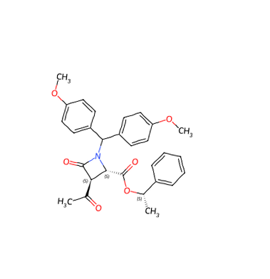 COc1ccc(C(c2ccc(OC)cc2)N2C(=O)[C@H](C(C)=O)[C@H]2C(=O)O[C@@H](C)c2ccccc2)cc1